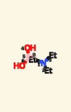 CCN(CC)CC.OBO